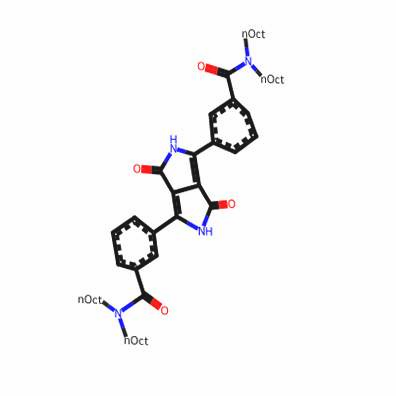 CCCCCCCCN(CCCCCCCC)C(=O)c1cccc(C2=C3C(=O)NC(c4cccc(C(=O)N(CCCCCCCC)CCCCCCCC)c4)=C3C(=O)N2)c1